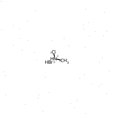 Br.CNCl